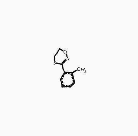 Cc1ccccc1C1=NOCCS1